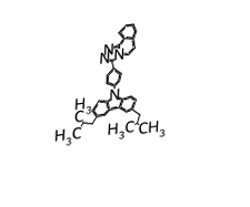 CC(C)Cc1ccc2c(c1)c1cc(CC(C)C)ccc1n2-c1ccc(-c2nnc3c4ccccc4ccn23)cc1